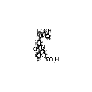 CC(O)(c1ccccc1)c1cc(-c2ccc3c(=O)n(-c4ccc(F)cc4)c(CCCCC(=O)O)nc3c2)no1